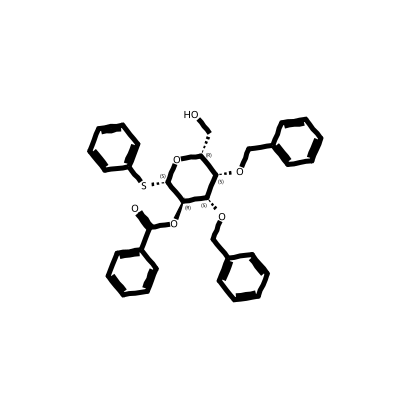 O=C(O[C@@H]1[C@@H](OCc2ccccc2)[C@@H](OCc2ccccc2)[C@@H](CO)O[C@H]1Sc1ccccc1)c1ccccc1